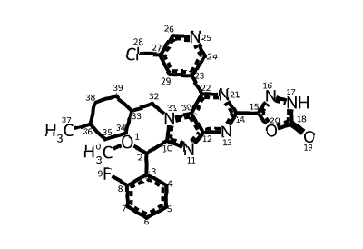 COC(c1ccccc1F)c1nc2nc(-c3n[nH]c(=O)o3)nc(-c3cncc(Cl)c3)c2n1CC1CCC(C)CC1